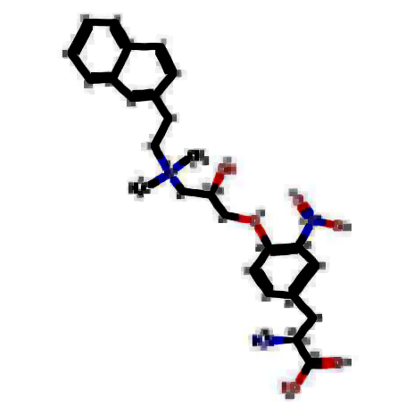 C[N+](C)(CCc1ccc2ccccc2c1)C[C@@H](O)COc1ccc(C[C@H](N)C(=O)O)cc1[N+](=O)[O-]